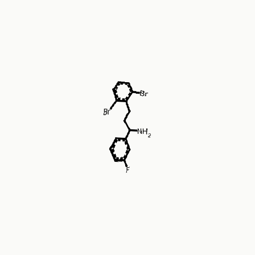 NC(CCc1c(Br)cccc1Br)c1cccc(F)c1